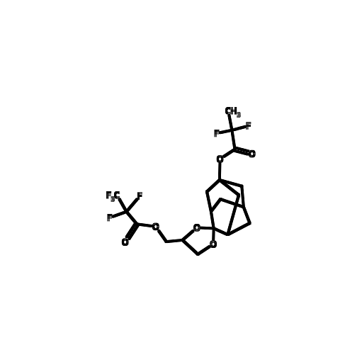 CC(F)(F)C(=O)OC12CC3CC(C1)C1(OCC(COC(=O)C(F)(F)C(F)(F)F)O1)C(C3)C2